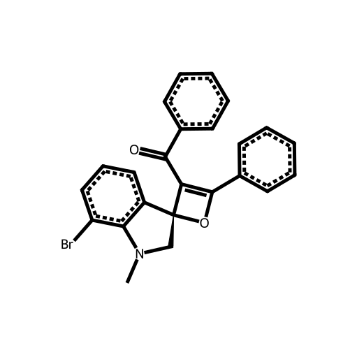 CN1C[C@@]2(OC(c3ccccc3)=C2C(=O)c2ccccc2)c2cccc(Br)c21